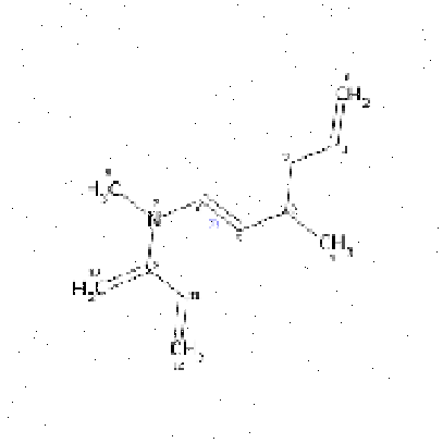 C=CCC(C)/C=C/N(C)C(=C)C=C